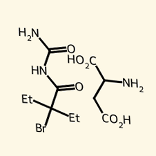 CCC(Br)(CC)C(=O)NC(N)=O.NC(CC(=O)O)C(=O)O